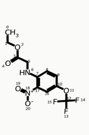 CCOC(=O)CNc1ccc(OC(F)(F)F)cc1[N+](=O)[O-]